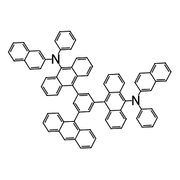 c1ccc(N(c2ccc3ccccc3c2)c2c3ccccc3c(-c3cc(-c4c5ccccc5cc5ccccc45)cc(-c4c5ccccc5c(N(c5ccccc5)c5ccc6ccccc6c5)c5ccccc45)c3)c3ccccc23)cc1